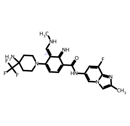 CN/C=C1\C(=N)C(C(=O)Nc2cc(F)c3nc(C)cn3c2)=CC=C1N1CCC(N)(C(F)(F)F)CC1